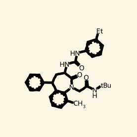 CCc1cccc(NC(=O)NC2CC(c3ccccc3)c3cccc(C)c3N(CC(=O)NC(C)(C)C)C2=O)c1